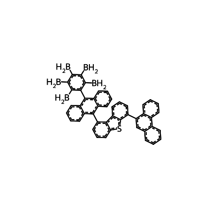 Bc1c(B)c(B)c(-c2c3ccccc3c(-c3cccc4sc5c(-c6cc7ccccc7c7ccccc67)cccc5c34)c3ccccc23)c(B)c1B